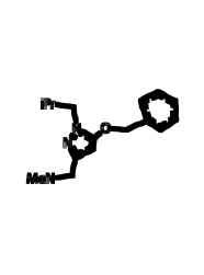 CNCc1cc(OCc2ccccc2)n(CC(C)C)n1